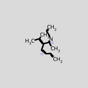 C=C/C=C\C(=C(C)C)/C(C)=N\C=C